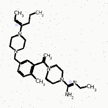 C=C(c1cc(CN2CCN(/C(=C/C)CCC)CC2)ccc1C)N1CCN(/C(N)=N/CC)CC1